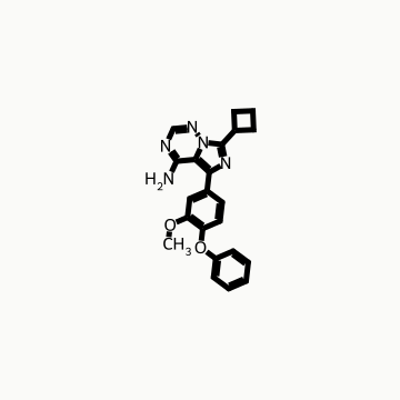 COc1cc(-c2nc(C3CCC3)n3ncnc(N)c23)ccc1Oc1ccccc1